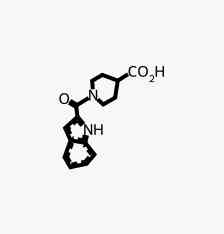 O=C(O)C1CCN(C(=O)c2cc3ccccc3[nH]2)CC1